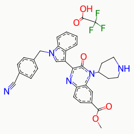 COC(=O)c1ccc2nc(-c3cn(Cc4ccc(C#N)cc4)c4ccccc34)c(=O)n(C3CCNCC3)c2c1.O=C(O)C(F)(F)F